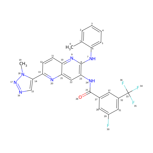 Cc1ccccc1Nc1nc2ccc(-c3cnnn3C)nc2cc1NC(=O)c1cc(F)cc(C(F)(F)F)c1